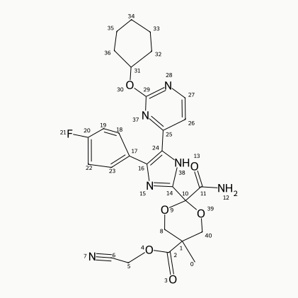 CC1(C(=O)OCC#N)COC(C(N)=O)(c2nc(-c3ccc(F)cc3)c(-c3ccnc(OC4CCCCC4)n3)[nH]2)OC1